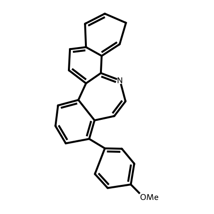 COc1ccc(-c2cccc3c2C=CN=c2c-3ccc3c2=CCC=C3)cc1